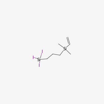 C=C[Si](C)(C)CCC[Si](I)(I)I